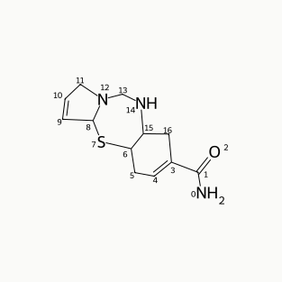 NC(=O)C1=CCC2SC3C=CCN3CNC2C1